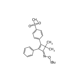 CC(C)(C)O/N=C1/C(c2ccccc2)=C(c2ccc(S(C)(=O)=O)cc2)C1(C)C